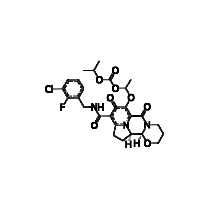 CC(C)OC(=O)OC(C)Oc1c2n3c(c(C(=O)NCc4cccc(Cl)c4F)c1=O)CC[C@@H]3[C@@H]1OCCCN1C2=O